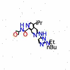 CCCCN(CC)c1nccc(Nc2cc3c(C(C)C)cnc(C(=O)NC4COC4)c3cn2)n1